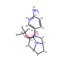 CC(C)(C)OC(=O)N1C2CCC1CN(c1ccc(N)nc1)C(=O)C2